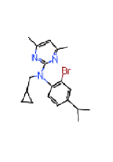 Cc1cc(C)nc(N(CC2CC2)c2ccc(C(C)C)cc2Br)n1